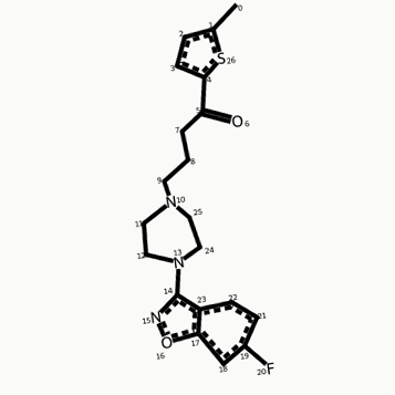 Cc1ccc(C(=O)CCCN2CCN(c3noc4cc(F)ccc34)CC2)s1